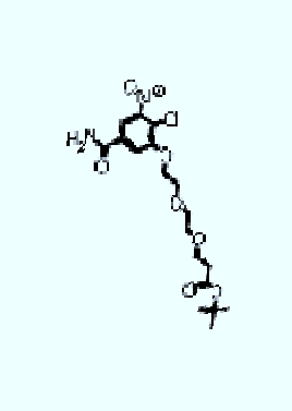 CC(C)(C)OC(=O)CCOCCOCCOc1cc(C(N)=O)cc([N+](=O)[O-])c1Cl